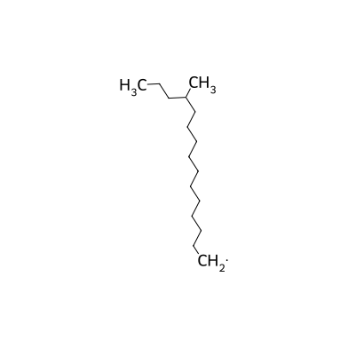 [CH2]CCCCCCCCCCC(C)CCC